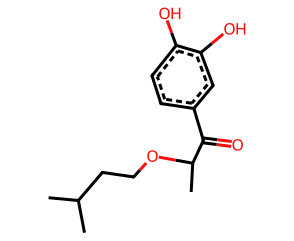 CC(C)CCOC(C)C(=O)c1ccc(O)c(O)c1